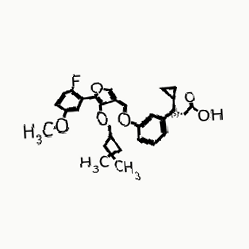 COc1ccc(F)c(-c2occ(COc3cccc([C@@H](CC(=O)O)C4CC4)c3)c2OCC2CC(C)(C)C2)c1